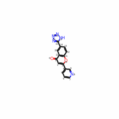 O=c1cc(-c2cccnc2)oc2ccc(-c3nnn[nH]3)cc12